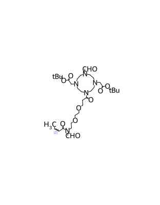 C/C=C\C(=O)N(C=O)CCOCCOCCC(=O)N1CCN(CC(=O)OC(C)(C)C)CCN(C=O)CCN(CC(=O)OC(C)(C)C)CC1